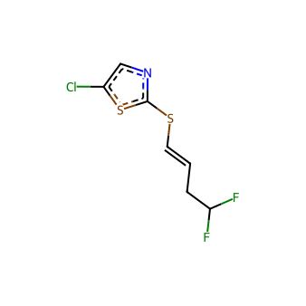 FC(F)CC=CSc1ncc(Cl)s1